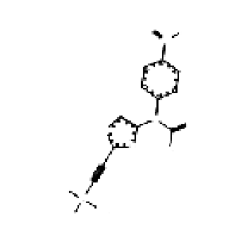 C[Si](C)(C)C#Cc1nc(N(C(=O)O)c2ccc([N+](=O)[O-])cc2)cs1